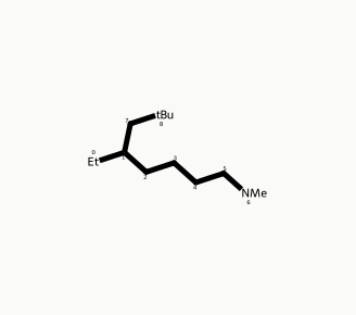 CCC(CCCCNC)CC(C)(C)C